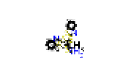 CC(C)(SN)C(Sc1nc2ccccc2s1)Sc1nc2ccccc2s1